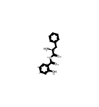 N[C@@H](Cc1ccccc1)C(=O)OC(=O)c1ccccc1O